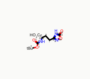 CC(C)(C)OC(=O)N[C@@H](CCc1noc(=O)[nH]1)C(=O)O